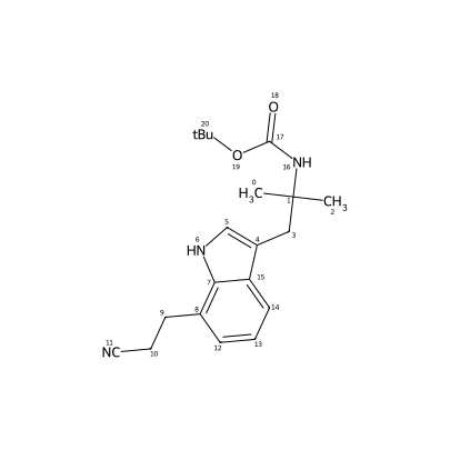 CC(C)(Cc1c[nH]c2c(CCC#N)cccc12)NC(=O)OC(C)(C)C